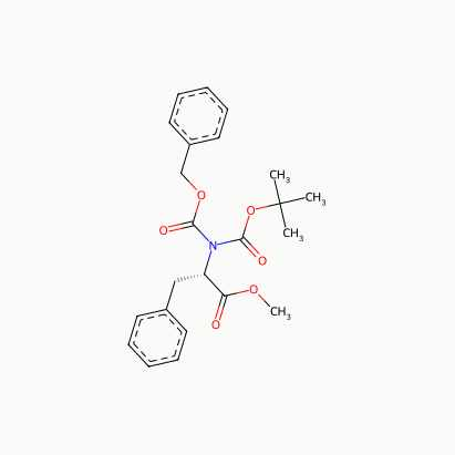 COC(=O)[C@H](Cc1ccccc1)N(C(=O)OCc1ccccc1)C(=O)OC(C)(C)C